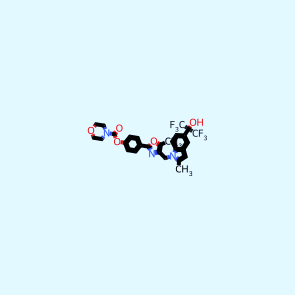 Cc1oc(-c2ccc(OC(=O)N3CCOCC3)cc2)nc1Cn1c(C)cc2cc(C(O)(C(F)(F)F)C(F)(F)F)ccc21